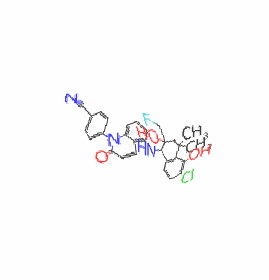 CC1(C)CC(O)(CF)C(Nc2cccc3c2ccc(=O)n3-c2ccc(C#N)cc2)c2ccc(Cl)c(O)c21